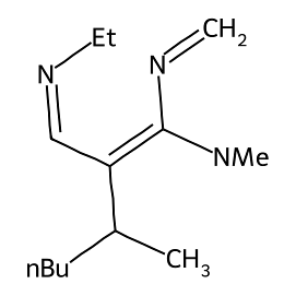 C=N/C(NC)=C(\C=N/CC)C(C)CCCC